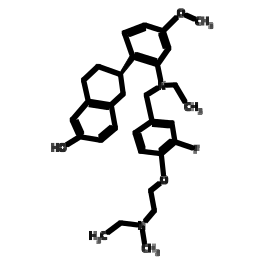 CCN(C)CCOc1ccc(CN(CC)c2cc(OC)ccc2[C@@H]2CCc3cc(O)ccc3C2)cc1F